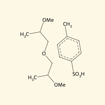 COC(C)COCC(C)OC.Cc1ccc(S(=O)(=O)O)cc1